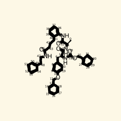 C[C@@H](NC(=O)[C@H](Cc1ccc(OCc2ccccc2)cc1)NC(=O)OCc1ccccc1)C(=O)Nc1ccccc1CCCC(=O)NCCc1ccccc1